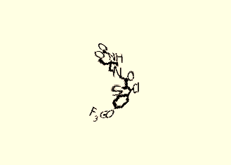 O=C1NC2(CCO1)CN(C(=O)c1sc3cc(OC(F)(F)F)ccc3c1Cl)C2